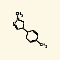 CC1=CCC(C2C=NN(C)C2)C=C1